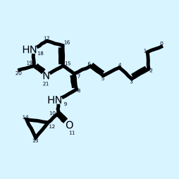 CC/C=C\CC=C/C(=C/NC(=O)C1CC1)C1=CCNC(C)=N1